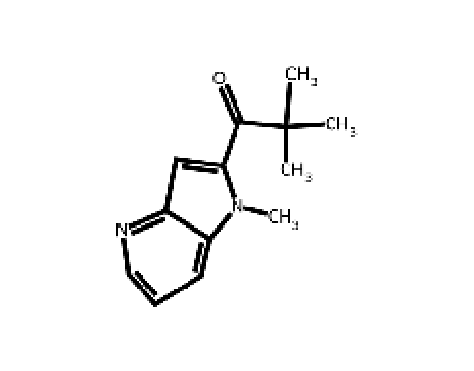 Cn1c(C(=O)C(C)(C)C)cc2ncccc21